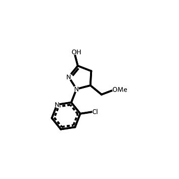 COCC1CC(O)=NN1c1ncccc1Cl